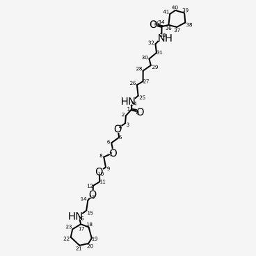 O=C(CCOCCOCCOCCOCCNC1CCCCCC1)NCCCCCCCCNC(=O)C1CCCCC1